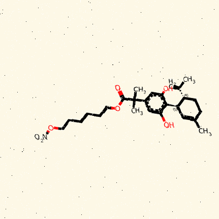 C=C(C)[C@@H]1CCC(C)=C[C@H]1c1c(O)cc(C(C)(C)C(=O)OCCCCCCO[N+](=O)[O-])cc1O